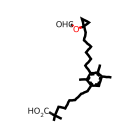 Cc1cc(CCCCCCC(C)(C)C(=O)O)c(C)c(CCCCCCC2(OC=O)CC2)c1C